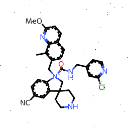 COc1ccc2ccc(C[N+]3(C(=O)NCc4ccnc(Cl)c4)CC4(CCNCC4)c4cc(C#N)ccc43)c(C)c2n1